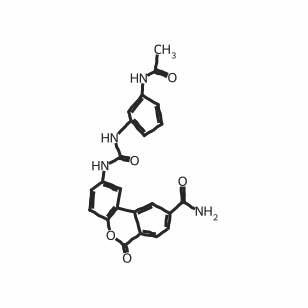 CC(=O)Nc1cccc(NC(=O)Nc2ccc3oc(=O)c4ccc(C(N)=O)cc4c3c2)c1